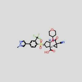 Cn1cc(-c2ccc(S(=O)(=O)[C@H]3C[C@@H](OC4CCOCC4)[C@](C(=O)O)(C4CC4(C#N)C(N)=O)C3)c(C(F)(F)F)c2)cn1